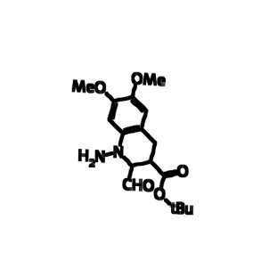 COc1cc2c(cc1OC)N(N)C(C=O)C(C(=O)OC(C)(C)C)C2